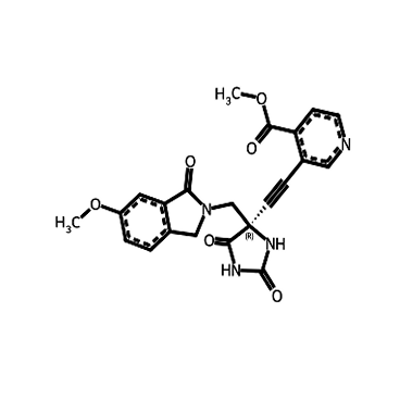 COC(=O)c1ccncc1C#C[C@]1(CN2Cc3ccc(OC)cc3C2=O)NC(=O)NC1=O